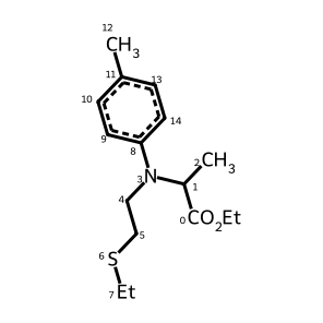 CCOC(=O)C(C)N(CCSCC)c1ccc(C)cc1